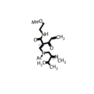 C=CC(=O)/C(=C\N(C/C(=N/C)C(=C)C)C(C)=O)C(=O)NCCOC